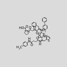 Cc1ccc(NC(=O)CCC(=O)N[C@H](Cc2cccs2)C(=O)N[C@@H](Cc2ccc(-c3ccccc3)cc2)C(=O)N[C@H](Cc2ccccc2)C(=O)NCC(=O)N2CCC[C@H]2C(=O)O)cc1